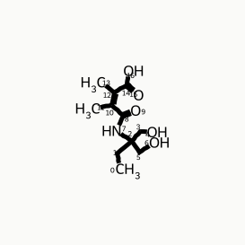 CCC(CO)(CO)NC(=O)/C(C)=C(/C)C(=O)O